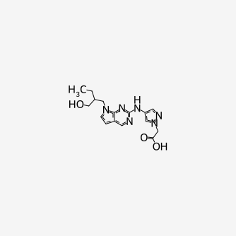 CCC(CO)Cn1ccc2cnc(Nc3cnn(CC(=O)O)c3)nc21